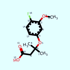 COc1cc(OC(C)(C)CC(=O)O)ccc1F